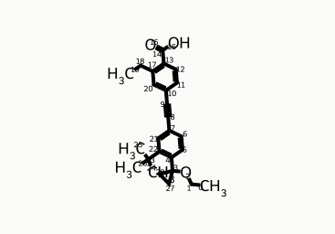 CCOC1(c2ccc(C#Cc3ccc(C(=O)O)c(CC)c3)cc2C(C)(C)C)CC1